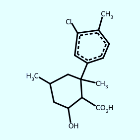 Cc1ccc(C2(C)CC(C)CC(O)C2C(=O)O)cc1Cl